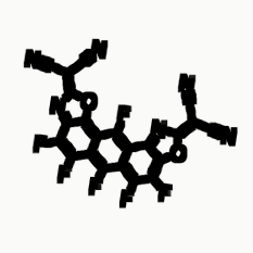 N#CC(C#N)=c1nc2c(o1)c(F)c(F)c1c(F)c3c(F)c(F)c4nc(=C(C#N)C#N)oc4c3c(F)c12